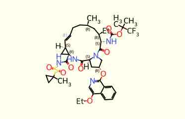 CCOc1cnc(O[C@@H]2C[C@H]3C(=O)N[C@]4(C(=O)NS(=O)(=O)C5(C)CC5)C[C@H]4/C=C/CC[C@@H](C)C[C@@H](CC)[C@H](NC(=O)OC(C)(C)C(F)(F)F)C(=O)N3C2)c2ccccc12